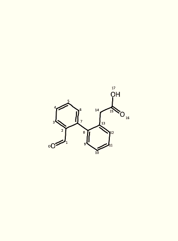 O=Cc1ccccc1-c1ccccc1CC(=O)O